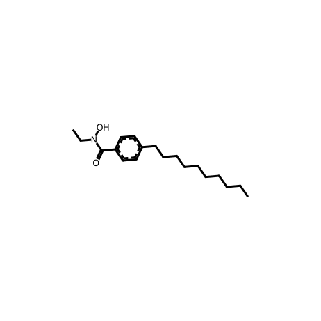 CCCCCCCCCCc1ccc(C(=O)N(O)CC)cc1